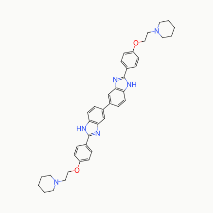 c1cc(-c2nc3cc(-c4ccc5[nH]c(-c6ccc(OCCN7CCCCC7)cc6)nc5c4)ccc3[nH]2)ccc1OCCN1CCCCC1